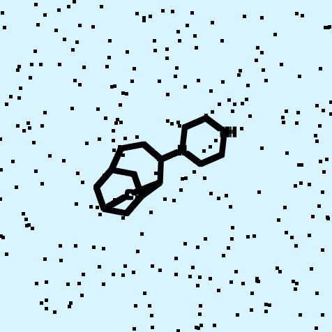 C1CN(C2CCC3CC4CC(C3)C2C4)CCN1